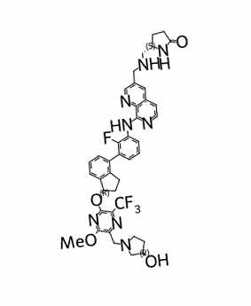 COc1nc(O[C@@H]2CCc3c(-c4cccc(Nc5nccc6cc(CNC[C@@H]7CCC(=O)N7)cnc56)c4F)cccc32)c(C(F)(F)F)nc1CN1CC[C@@H](O)C1